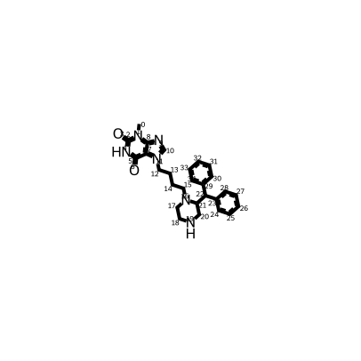 Cn1c(=O)[nH]c(=O)c2c1ncn2CCCCN1CCNCC1C(c1ccccc1)c1ccccc1